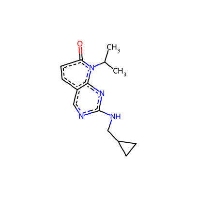 CC(C)n1c(=O)ccc2cnc(NCC3CC3)nc21